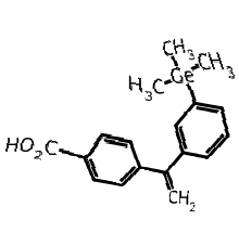 C=C(c1ccc(C(=O)O)cc1)c1ccc[c]([Ge]([CH3])([CH3])[CH3])c1